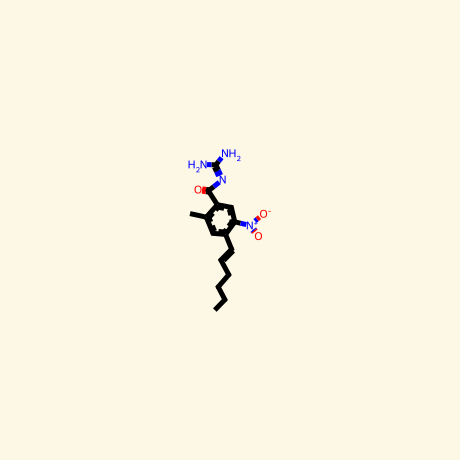 CCCCC=Cc1cc(C)c(C(=O)N=C(N)N)cc1[N+](=O)[O-]